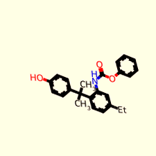 CCc1ccc(C(C)(C)c2ccc(O)cc2)c(NC(=O)Oc2ccccc2)c1